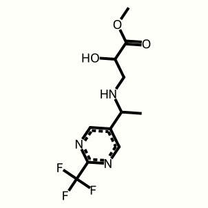 COC(=O)C(O)CNC(C)c1cnc(C(F)(F)F)nc1